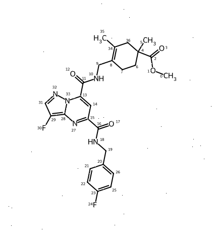 COC(=O)C1(C)CCC(CNC(=O)c2cc(C(=O)NCc3ccc(F)cc3)nc3c(F)cnn23)=C(C)C1